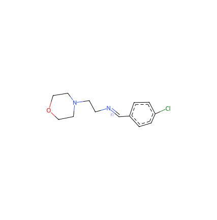 Clc1ccc(/C=N/CCN2CCOCC2)cc1